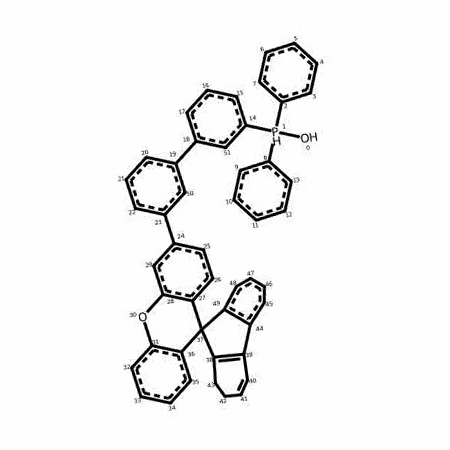 O[PH](c1ccccc1)(c1ccccc1)c1cccc(-c2cccc(-c3ccc4c(c3)Oc3ccccc3C43C4=C(C=CCC4)c4ccccc43)c2)c1